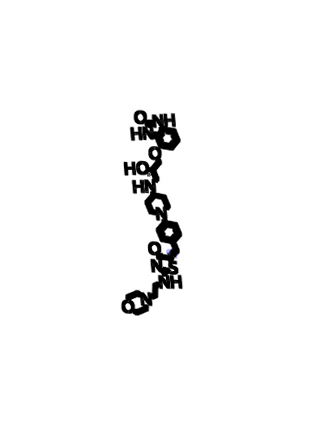 O=C1N=C(NCCN2CCOCC2)S/C1=C/c1ccc(N2CCC(NC[C@H](O)COc3cccc4[nH]c(=O)[nH]c34)CC2)cc1